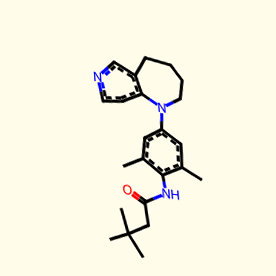 Cc1cc(N2CCCCc3cnccc32)cc(C)c1NC(=O)CC(C)(C)C